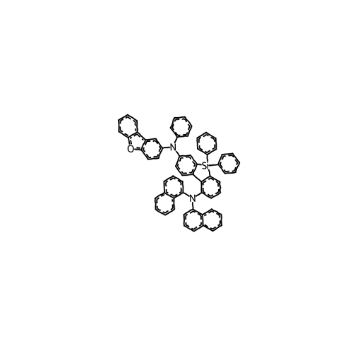 c1ccc(N(c2ccc3c(c2)[Si](c2ccccc2)(c2ccccc2)c2cccc(N(c4cccc5ccccc45)c4cccc5ccccc45)c2-3)c2ccc3oc4ccccc4c3c2)cc1